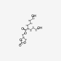 O=C1OCC(COC(=O)C(CCCO)CCCCO)O1